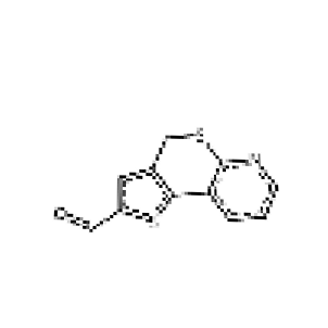 O=Cc1cc2c(s1)-c1cccnc1SC2